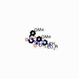 COc1ccc(CN2C(=O)CCC(n3c(=O)n(C)c4c(N5CCC(N(C)C(=O)O)CC5)c(OC)ccc43)C2=O)cc1